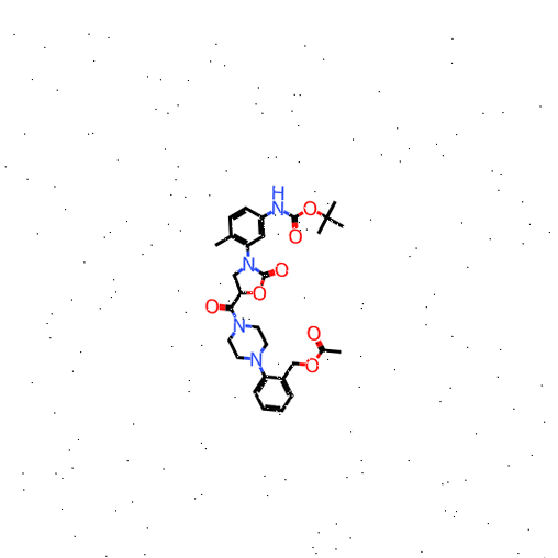 CC(=O)OCc1ccccc1N1CCN(C(=O)C2CN(c3cc(NC(=O)OC(C)(C)C)ccc3C)C(=O)O2)CC1